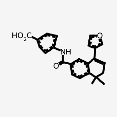 CC1(C)CC=C(c2ccoc2)c2cc(C(=O)Nc3ccc(C(=O)O)cc3)ccc21